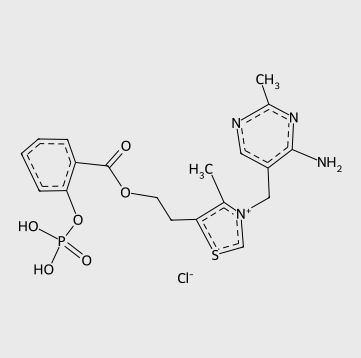 Cc1ncc(C[n+]2csc(CCOC(=O)c3ccccc3OP(=O)(O)O)c2C)c(N)n1.[Cl-]